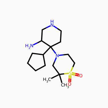 CC1(C)CN(C2(C3CCCC3)CCNCC2N)CCS1(=O)=O